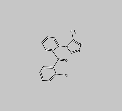 Cc1nncn1-c1ccccc1C(=O)c1ccccc1Cl